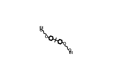 CCOCCCOc1ccc(C(C)(C)c2ccc(OCCCOCC)cc2)cc1